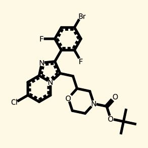 CC(C)(C)OC(=O)N1CCOC(Cc2c(-c3c(F)cc(Br)cc3F)nc3cc(Cl)ccn23)C1